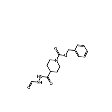 O=CNNC(=O)C1CCN(C(=O)OCc2ccccc2)CC1